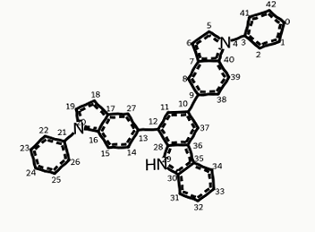 c1ccc(-n2ccc3cc(-c4cc(-c5ccc6c(ccn6-c6ccccc6)c5)c5[nH]c6ccccc6c5c4)ccc32)cc1